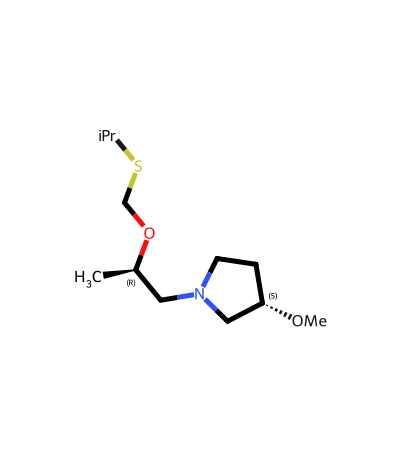 CO[C@H]1CCN(C[C@@H](C)OCSC(C)C)C1